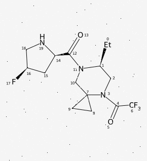 CC[C@H]1CN(C(=O)C(F)(F)F)C2(CC2)CN1C(=O)[C@H]1C[C@@H](F)CN1